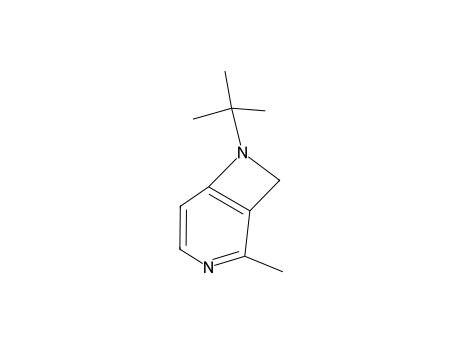 Cc1nccc2c1CN2C(C)(C)C